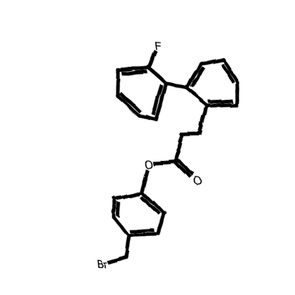 O=C(CCc1ccccc1-c1ccccc1F)Oc1ccc(CBr)cc1